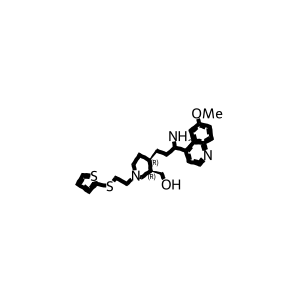 COc1ccc2nccc(C(N)CC[C@@H]3CCN(CCSc4cccs4)C[C@@H]3CO)c2c1